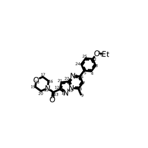 CCOc1ccc(-c2cc(C)n3nc(C(=O)N4CCOCC4)cc3n2)cc1